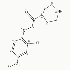 COc1ccc(OCC(=O)N2CCNCC2)c(Cl)c1